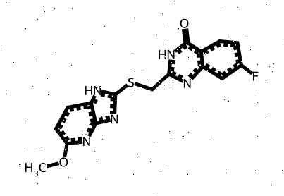 COc1ccc2[nH]c(SCc3nc4cc(F)ccc4c(=O)[nH]3)nc2n1